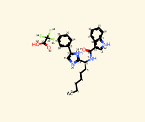 CC(=O)CCCCC[C@H](NC(=O)c1c[nH]c2ccccc12)c1ncc(-c2ccccc2)[nH]1.O=C(O)C(F)(F)F